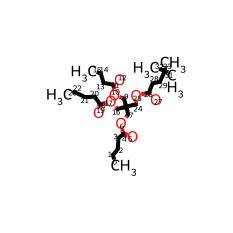 CCCCC(=O)OCC(COC(=O)CCC)(COC(=O)CCCC)COC(=O)CCC(C)(C)C